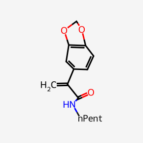 C=C(C(=O)NCCCCC)c1ccc2c(c1)OCO2